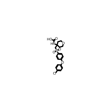 O=C(O)NC1(CS(=O)(=O)c2ccc(Oc3ccc(Cl)cc3)cc2)CCOCC1